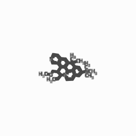 C=CC1C(COC)c2c3c(cc4ccncc24)C(C)(C)c2cc([Si](C)(C)C)cc4cc[n+]1c-3c24